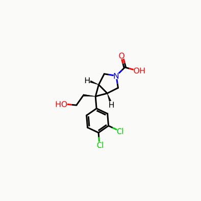 O=C(O)N1C[C@@H]2[C@H](C1)[C@]2(CCO)c1ccc(Cl)c(Cl)c1